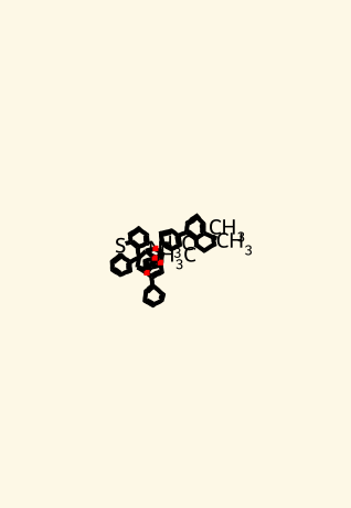 CC1(C)CCC(C)(C)c2c(-c3ccc(N(c4ccc(-c5ccccc5)cc4)c4cccc5c4C4(c6ccccc6S5)C5CC6CC(C5)CC4C6)cc3)cccc21